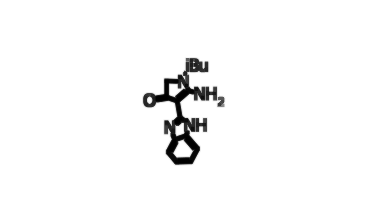 CC[C@H](C)N1CC(=O)C(c2nc3ccccc3[nH]2)=C1N